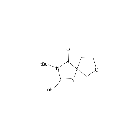 CCCC1=NC2(CCOC2)C(=O)N1C(C)(C)C